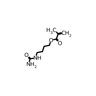 C=C(C)C(=O)OCCCCNC(N)=O